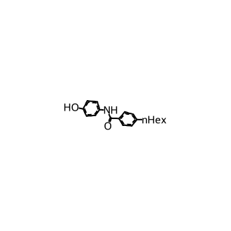 CCCCCCc1ccc(C(=O)Nc2ccc(O)cc2)cc1